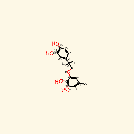 Cc1cc(O)c(O)c(OCC(C)(C)c2ccc(O)c(O)c2)c1